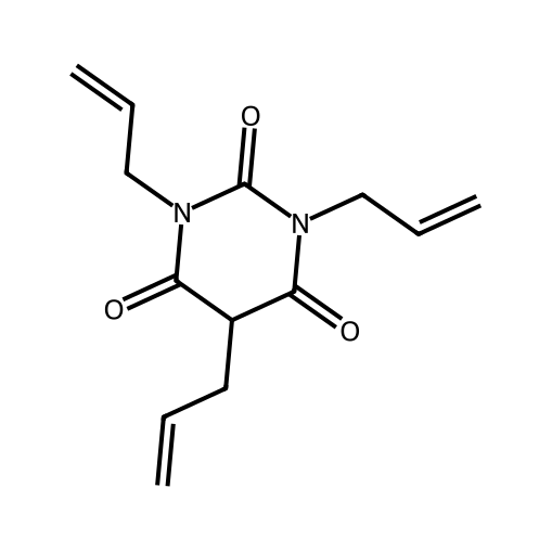 C=CCC1C(=O)N(CC=C)C(=O)N(CC=C)C1=O